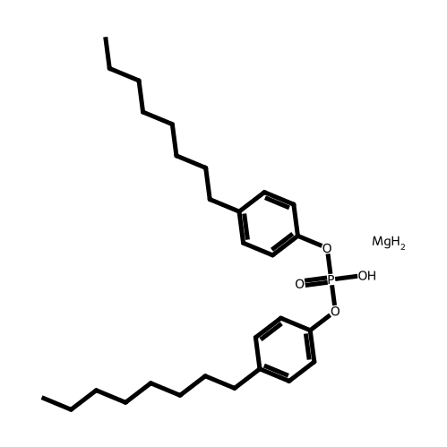 CCCCCCCCc1ccc(OP(=O)(O)Oc2ccc(CCCCCCCC)cc2)cc1.[MgH2]